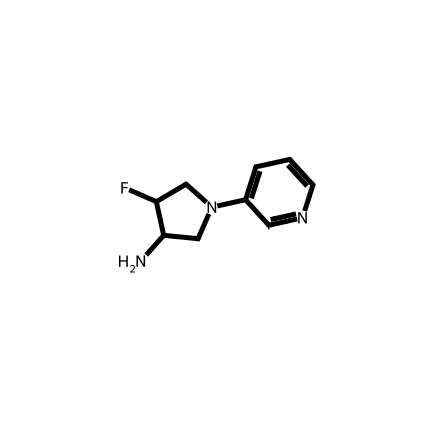 NC1CN(c2[c]nccc2)CC1F